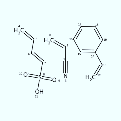 C=CC#N.C=CC=CS(=O)(=O)O.C=Cc1ccccc1